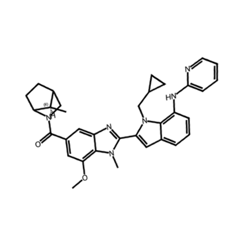 COc1cc(C(=O)N2CC3CCC2[C@@H]3C)cc2nc(-c3cc4cccc(Nc5ccccn5)c4n3CC3CC3)n(C)c12